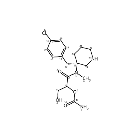 CN(C(=O)C(CO)OC(N)=O)[C@@]1(Cc2ccc(Cl)cc2)CCCNC1